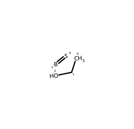 CCO.[B]=S